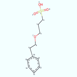 O=S(=O)(O)CCCOCCc1ccccc1